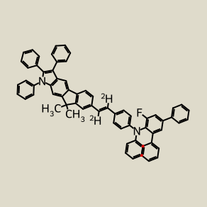 [2H]/C(=C(/[2H])c1ccc2c(c1)C(C)(C)c1cc3c(cc1-2)c(-c1ccccc1)c(-c1ccccc1)n3-c1ccccc1)c1ccc(N(c2ccccc2)c2c(F)cc(-c3ccccc3)cc2-c2ccccc2)cc1